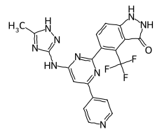 Cc1nc(Nc2cc(-c3ccncc3)nc(-c3ccc4[nH][nH]c(=O)c4c3C(F)(F)F)n2)n[nH]1